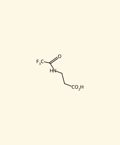 O=C(O)CCNC(=O)C(F)(F)F